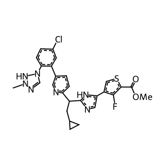 COC(=O)c1scc(-c2cnc(C(CC3CC3)c3ccc(-c4cc(Cl)ccc4N4C=NN(C)N4)cn3)[nH]2)c1F